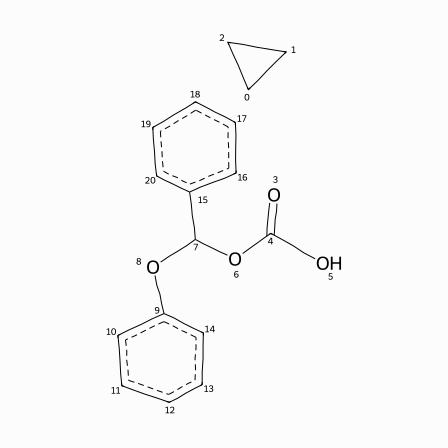 C1CC1.O=C(O)OC(Oc1ccccc1)c1ccccc1